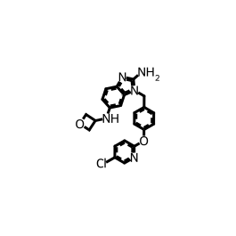 Nc1nc2ccc(NC3COC3)cc2n1Cc1ccc(Oc2ccc(Cl)cn2)cc1